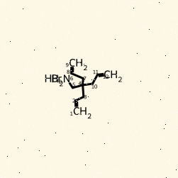 Br.C=CCC(CN)(CC=C)CC=C